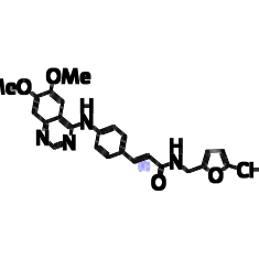 COc1cc2ncnc(Nc3ccc(/C=C/C(=O)NCc4ccc(C)o4)cc3)c2cc1OC